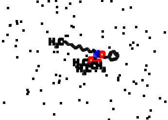 CCCCCCCCCCN(OCc1ccccc1)C(=O)OC(C)(C)C